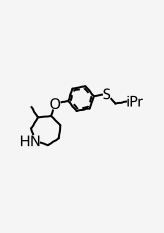 CC(C)CSc1ccc(OC2CCCNCC2C)cc1